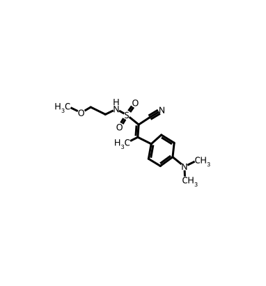 COCCNS(=O)(=O)/C(C#N)=C(\C)c1ccc(N(C)C)cc1